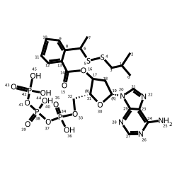 CC(C)CSSC(C)c1ccccc1C(=O)OC1C[C@H](n2cnc3c(N)ncnc32)O[C@@H]1COP(=O)(O)OP(=O)(O)OP(=O)(O)O